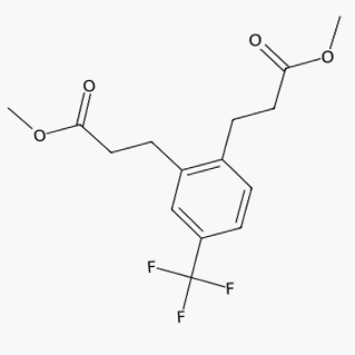 COC(=O)CCc1ccc(C(F)(F)F)cc1CCC(=O)OC